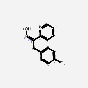 O/N=C(/Cc1ccc(F)cc1)c1ccccn1